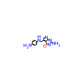 NC1=NC(=O)C2=C(CNc3ccc(N)cc3)C=NC2=N1